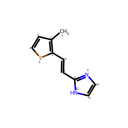 Cc1ccsc1C=Cc1ncc[nH]1